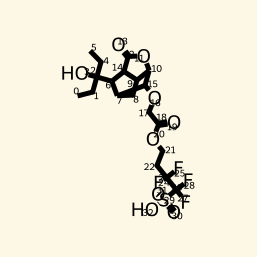 CCC(O)(CC)C1C2CC3C(OC(=O)C31)C2OCC(=O)OCCC(F)(F)C(F)(F)S(=O)(=O)O